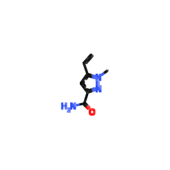 C=Cc1cc(C(N)=O)nn1C